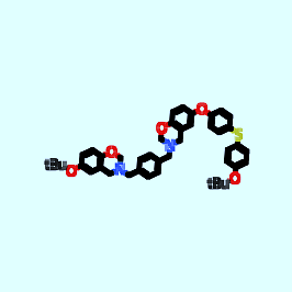 CC(C)(C)Oc1ccc(Sc2ccc(Oc3ccc4c(c3)CN(Cc3ccc(CN5COc6ccc(OC(C)(C)C)cc6C5)cc3)CO4)cc2)cc1